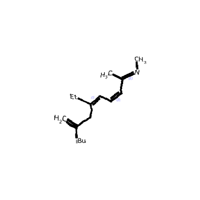 C=C(C\C(=C/C=C\C(C)=N\C)CC)C(C)CC